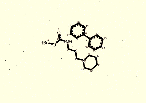 CC(C)(C)OC(=O)NCCCN1CCCCC1.c1ccc(-c2ccccc2)cc1